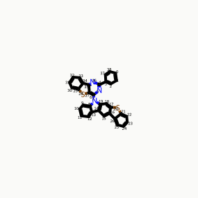 c1ccc(-c2nc(-n3c4ccccc4c4cc5c(cc43)sc3ccccc35)c3sc4ccccc4c3n2)cc1